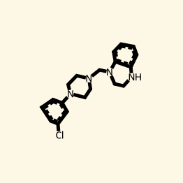 Clc1cccc(N2CCN(CN3CCNc4ccccc43)CC2)c1